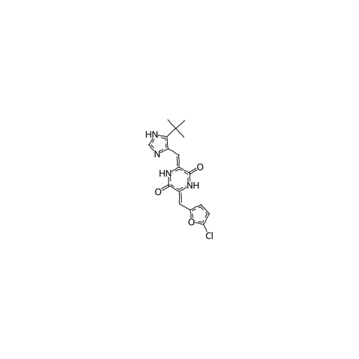 CC(C)(C)c1[nH]cnc1/C=c1\[nH]c(=O)/c(=C/c2ccc(Cl)o2)[nH]c1=O